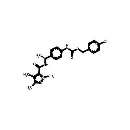 Cc1nn(C)c(C(=O)N[C@@H](C)c2ccc(NC(=O)OCc3ccc(Cl)cc3)cc2)c1C